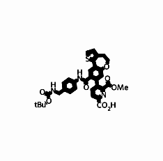 COC(=O)c1nc(C(=O)O)ccc1-c1cc2c(cc1C(=O)Nc1ccc(CNC(=O)OC(C)(C)C)cc1)-c1sccc1CCO2